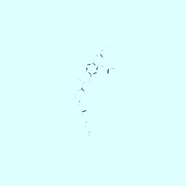 CCCCOC(=O)OC[C@H](C)OC(=O)[C@@H](N)Cc1ccc(OC(=O)OC)c(OC(=O)OC)c1